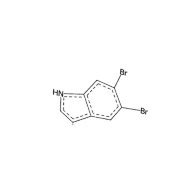 Brc1cc2[c]c[nH]c2cc1Br